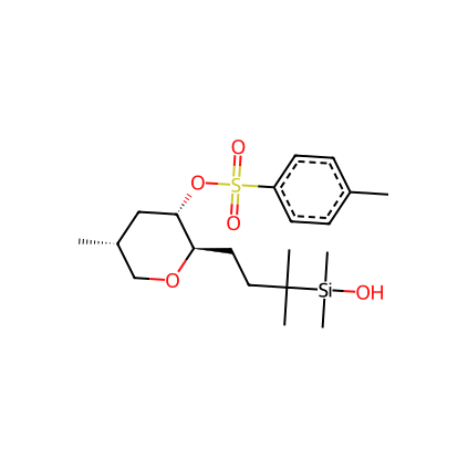 Cc1ccc(S(=O)(=O)O[C@H]2C[C@@H](C)CO[C@@H]2CCC(C)(C)[Si](C)(C)O)cc1